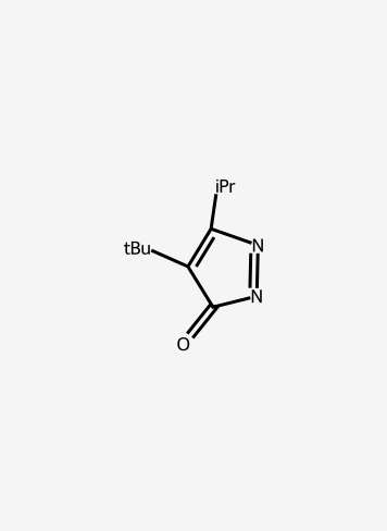 CC(C)C1=C(C(C)(C)C)C(=O)N=N1